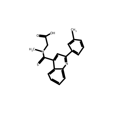 Cc1cccc(-c2cc(C(=S)N(C)CC(=O)O)c3ccccc3n2)c1